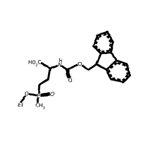 CCOP(C)(=O)CCC(NC(=O)OCC1c2ccccc2-c2ccccc21)C(=O)O